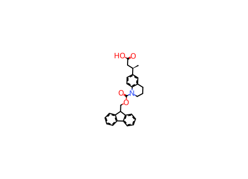 C[C@H](CC(=O)O)c1ccc2c(c1)CCCN2C(=O)OCC1c2ccccc2-c2ccccc21